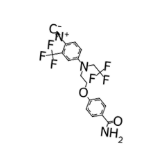 [C-]#[N+]c1ccc(N(CCOc2ccc(C(N)=O)cc2)CC(F)(F)F)cc1C(F)(F)F